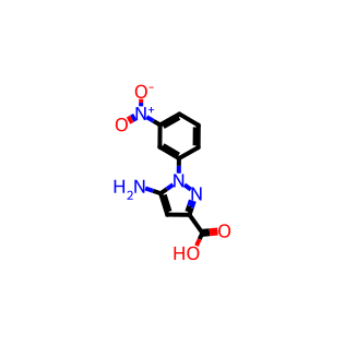 Nc1cc(C(=O)O)nn1-c1cccc([N+](=O)[O-])c1